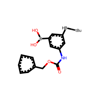 CC(C)(C)Bc1cc(NC(=O)OCc2ccccc2)cc(B(O)O)c1